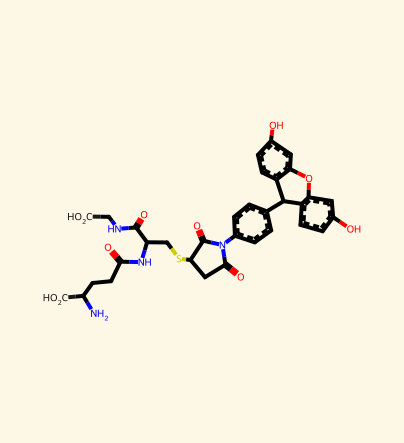 NC(CCC(=O)NC(CSC1CC(=O)N(c2ccc(C3c4ccc(O)cc4Oc4cc(O)ccc43)cc2)C1=O)C(=O)NCC(=O)O)C(=O)O